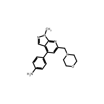 Cn1ncc2c(-c3ccc(N)cc3)cc(CN3CCOCC3)nc21